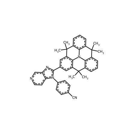 CC1(C)c2cccc3c2N2c4c1cccc4C(C)(C)c1cc(-c4nc5cnccc5n4-c4ccc(C#N)cc4)cc(c12)C3(C)C